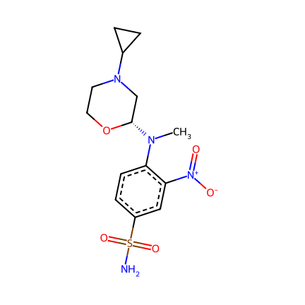 CN(c1ccc(S(N)(=O)=O)cc1[N+](=O)[O-])[C@H]1CN(C2CC2)CCO1